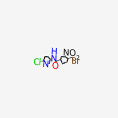 O=C(Nc1ccc(Cl)nc1)c1ccc(CBr)c([N+](=O)[O-])c1